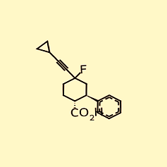 O=C(O)[C@@H]1CCC(F)(C#CC2CC2)C[C@H]1c1ccccc1